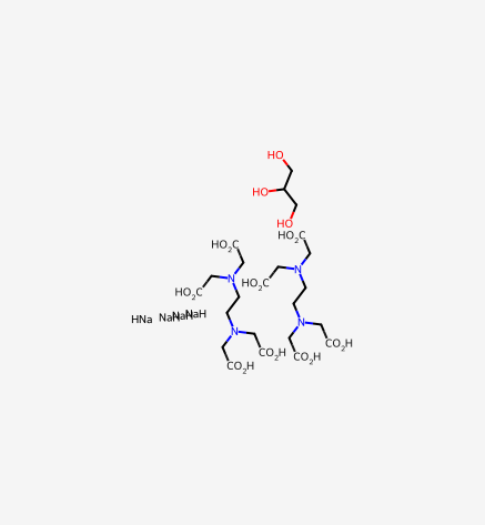 O=C(O)CN(CCN(CC(=O)O)CC(=O)O)CC(=O)O.O=C(O)CN(CCN(CC(=O)O)CC(=O)O)CC(=O)O.OCC(O)CO.[NaH].[NaH].[NaH].[NaH]